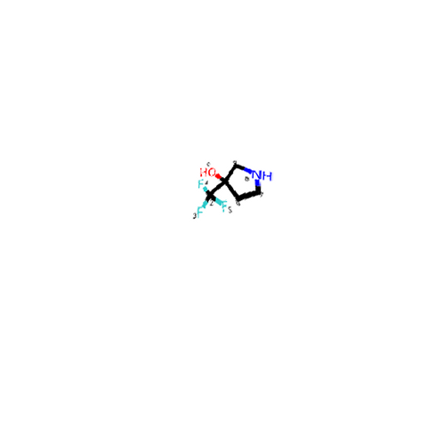 OC1(C(F)(F)F)CCNC1